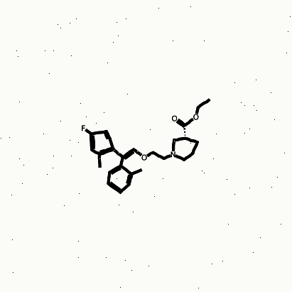 CCOC(=O)[C@@H]1CCCN(CCO/C=C(\c2ccccc2C)c2ccc(F)cc2C)C1